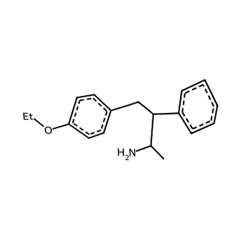 CCOc1ccc(CC(c2ccccc2)C(C)N)cc1